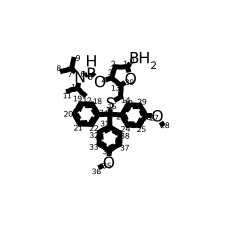 BC1CC(OPN(C(C)C)C(C)C)C(CSC(c2ccccc2)(c2ccc(OC)cc2)c2ccc(OC)cc2)O1